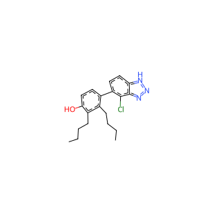 CCCCc1c(O)ccc(-c2ccc3[nH]nnc3c2Cl)c1CCCC